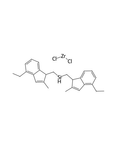 CCc1cccc2c1C=C(C)C2C[SiH]CC1C(C)=Cc2c(CC)cccc21.[Cl][Zr][Cl]